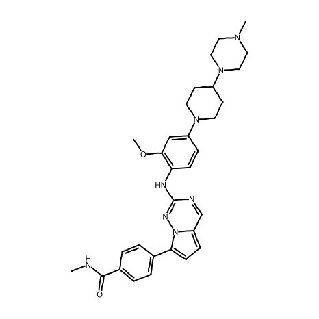 CNC(=O)c1ccc(-c2ccc3cnc(Nc4ccc(N5CCC(N6CCN(C)CC6)CC5)cc4OC)nn23)cc1